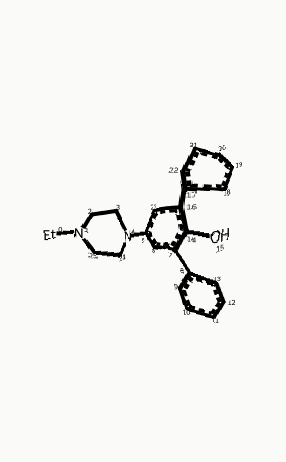 CCN1CCN(c2cc(-c3ccccc3)c(O)c(-c3ccccc3)c2)CC1